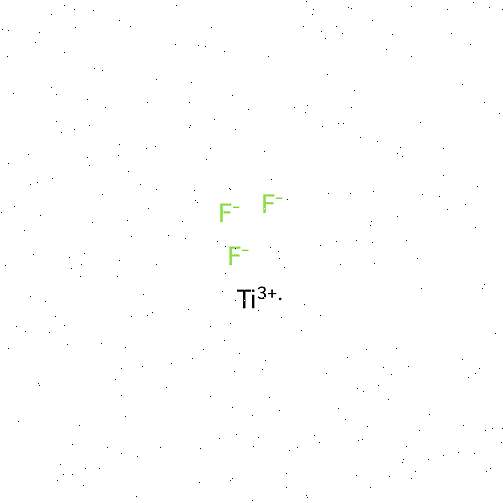 [F-].[F-].[F-].[Ti+3]